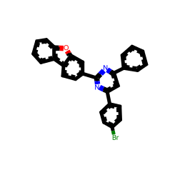 Brc1ccc(-c2cc(-c3ccccc3)nc(-c3ccc4c(c3)oc3ccccc34)n2)cc1